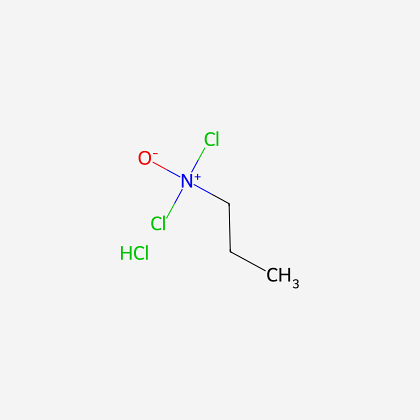 CCC[N+]([O-])(Cl)Cl.Cl